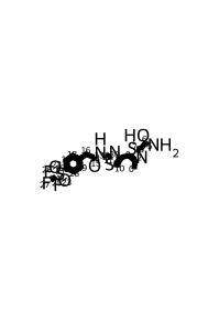 Cc1nc([C@@H](N)O)sc1-c1csc(NC(=O)Cc2ccc(S(=O)(=O)C(F)(F)F)cc2)n1